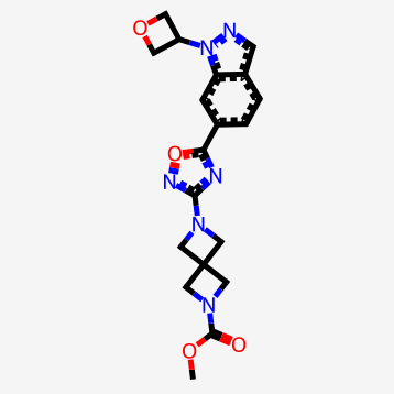 COC(=O)N1CC2(C1)CN(c1noc(-c3ccc4cnn(C5COC5)c4c3)n1)C2